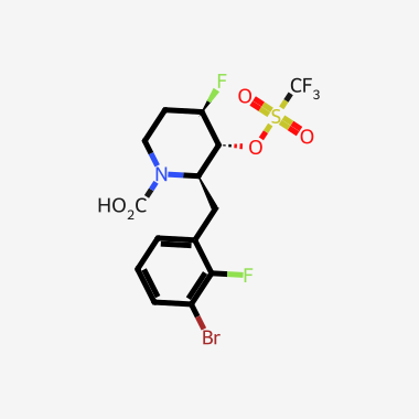 O=C(O)N1CC[C@@H](F)[C@H](OS(=O)(=O)C(F)(F)F)[C@H]1Cc1cccc(Br)c1F